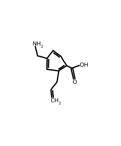 C=CCc1cc(CN)ccc1C(=O)O